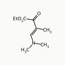 CCOC(=O)C(=O)C(C)=CN(C)C